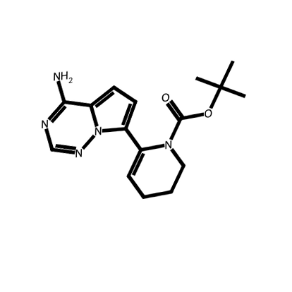 CC(C)(C)OC(=O)N1CCCC=C1c1ccc2c(N)ncnn12